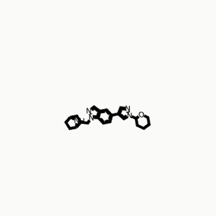 c1cc2c(cnn2CC2CC3CCC2N3)cc1-c1cnn(C2CCCCO2)c1